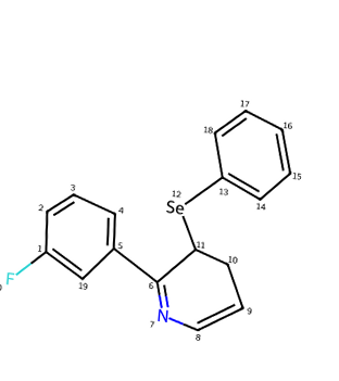 Fc1cccc(C2=NC=CCC2[Se]c2ccccc2)c1